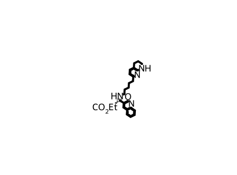 CCOC(=O)C[C@H](NC(=O)CCCCc1ccc2c(n1)NCCC2)c1cnc2ccccc2c1